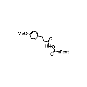 CCCCCC(=O)ONC(=O)CCc1ccc(OC)cc1